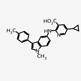 Cc1ccc(-c2cn(C)c3ccc(Nc4ncc(C5CC5)cc4C(=O)O)cc23)cc1